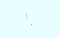 C#CCOC(=O)c1ccc(OCC#C)cc1